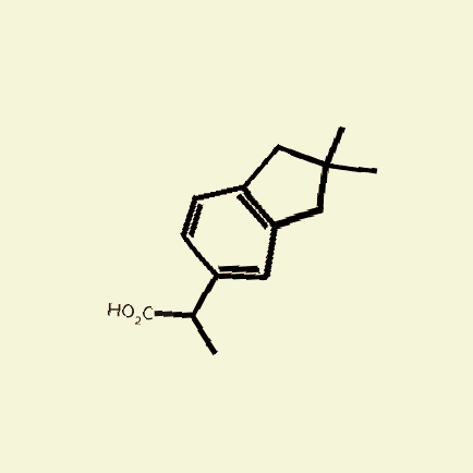 CC(C(=O)O)c1ccc2c(c1)CC(C)(C)C2